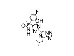 CC(C)Cc1nc(-c2nc(O)c3c(n2)NC(=O)[C@@]3(C)c2ccc(F)cc2)cn2ncnc12